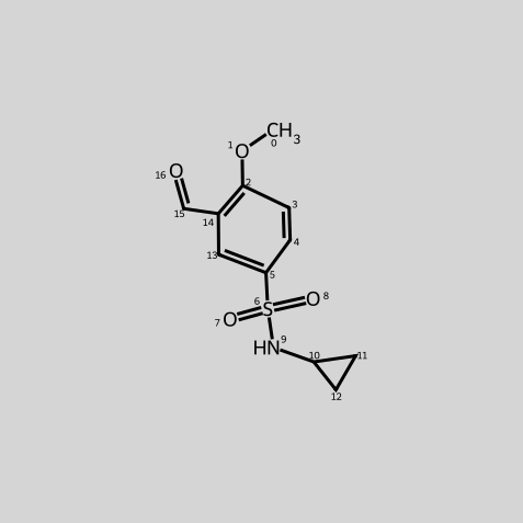 COc1ccc(S(=O)(=O)NC2CC2)cc1C=O